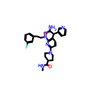 CNC(=O)C1CCN(c2ccc(C(C(N)=O)c3cccnc3)c(NCCc3cccc(F)c3)n2)CC1